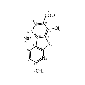 Cc1ccc2c(n1)sc1c(O)c(C(=O)[O-])nnc12.[Na+]